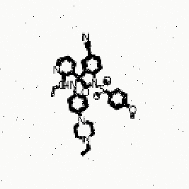 CCOc1ncccc1C1(Nc2ccc(N3CCN(CC)CC3)cc2)C(=O)N(S(=O)(=O)c2ccc(OC)cc2)c2ccc(C#N)cc21